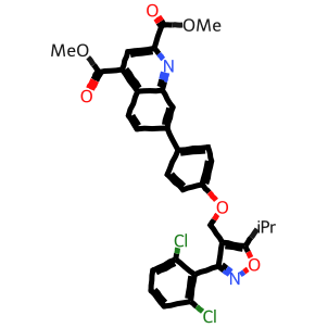 COC(=O)c1cc(C(=O)OC)c2ccc(-c3ccc(OCc4c(-c5c(Cl)cccc5Cl)noc4C(C)C)cc3)cc2n1